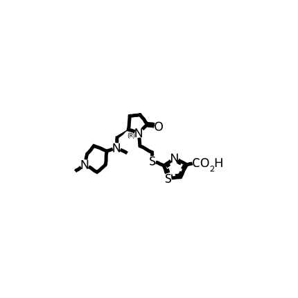 CN1CCC(N(C)C[C@H]2CCC(=O)N2CCSc2nc(C(=O)O)cs2)CC1